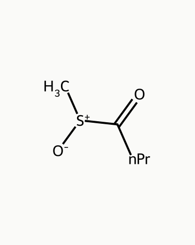 CCCC(=O)[S+](C)[O-]